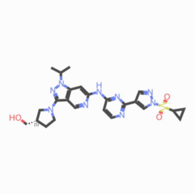 CC(C)n1nc(N2CC[C@H](CO)C2)c2cnc(Nc3ccnc(-c4cnn(S(=O)(=O)C5CC5)c4)n3)cc21